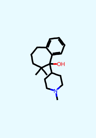 CN1CCC(C2(O)c3ccccc3CCCC2(C)C)CC1